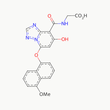 COc1cccc2c(Oc3cc(O)c(C(=O)NCC(=O)O)c4ncnn34)cccc12